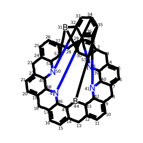 C1=CC2CC3=CC=C4CC5=CC=C6CC7=CC=C8CC9=CC=C%10CC%11=CC=C%12CC1C1B%13c%14c%15c%16c%17c%18c%14N(C3C4N%18C5C6B%17C7C8N%16C9C%10N%15C%11C%13%12)C21